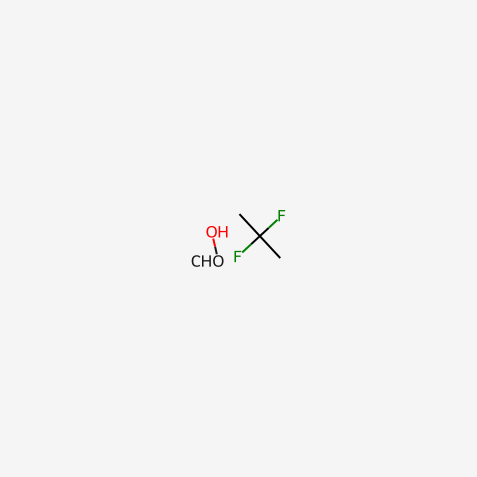 CC(C)(F)F.O=CO